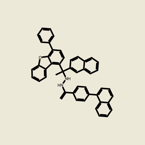 C=C(NNC(C)(c1ccc2ccccc2c1)c1ccc(-c2ccccc2)c2oc3ccccc3c12)c1ccc(-c2cccc3ccccc23)cc1